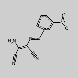 N#CC(N)=C(C#N)N=Cc1cccc([N+](=O)[O-])c1